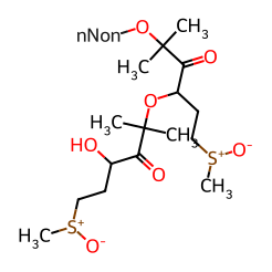 CCCCCCCCCOC(C)(C)C(=O)C(CC[S+](C)[O-])OC(C)(C)C(=O)C(O)CC[S+](C)[O-]